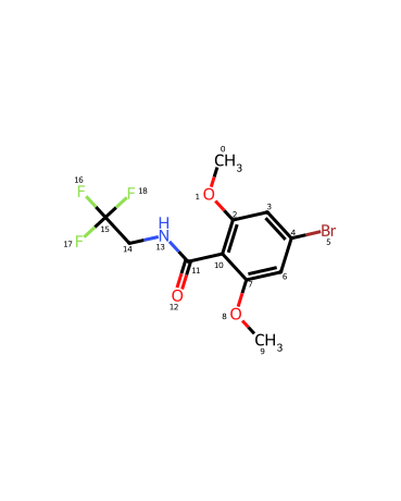 COc1cc(Br)cc(OC)c1C(=O)NCC(F)(F)F